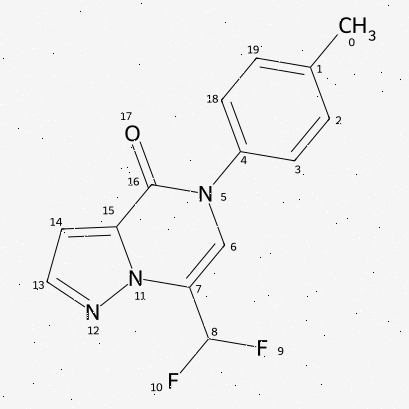 Cc1ccc(-n2cc(C(F)F)n3nccc3c2=O)cc1